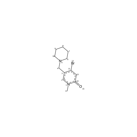 Cn1cc(CN2CCCCC2)c(Br)cc1=O